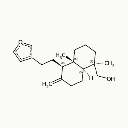 C=C1CC[C@@H]2[C@](C)(CO)CCC[C@@]2(C)[C@@H]1CCc1ccoc1